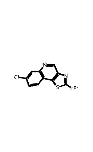 CCCc1nc2cnc3cc(Cl)ccc3c2s1